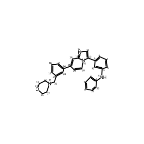 c1ccc(Nc2cccc(-c3cnc4cc(-c5cccc(CN6CCOCC6)c5)ccn34)c2)cc1